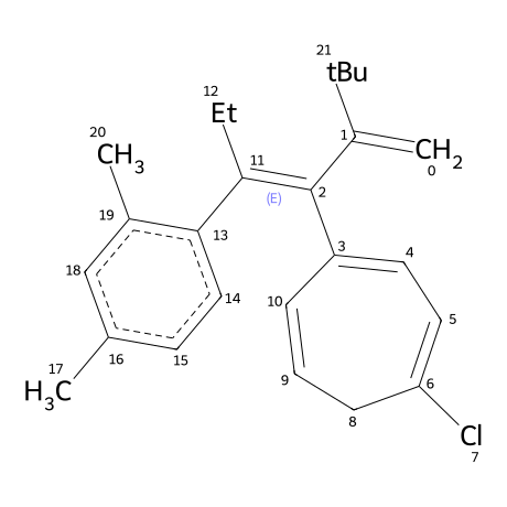 C=C(/C(C1=CC=C(Cl)CC=C1)=C(\CC)c1ccc(C)cc1C)C(C)(C)C